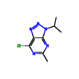 Cc1nc(Cl)c2nnn(C(C)C)c2n1